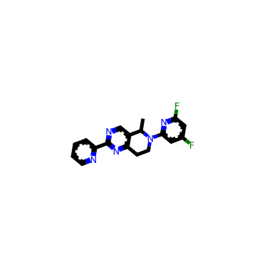 CC1c2cnc(-c3ccccn3)nc2CCN1c1cc(F)cc(F)n1